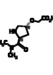 CN(C)C(=O)[C@@H]1C[C@@H](OCC(=O)O)CN1